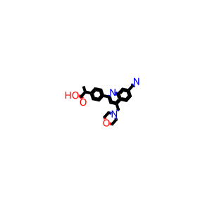 CC(C(=O)O)c1ccc(-c2cc(CN3CCOCC3)c3ccc(C#N)cc3n2)cc1